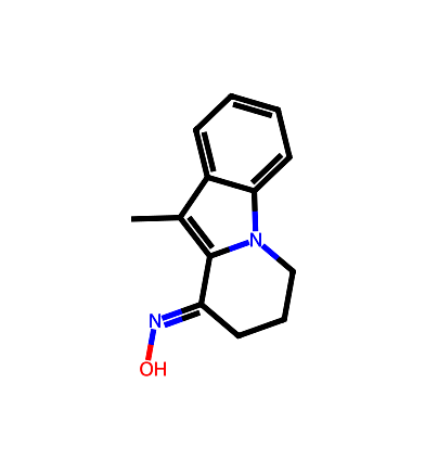 Cc1c2n(c3ccccc13)CCCC2=NO